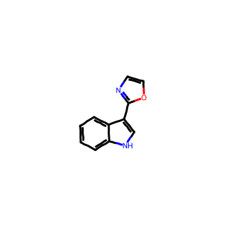 c1ccc2c(-c3ncco3)c[nH]c2c1